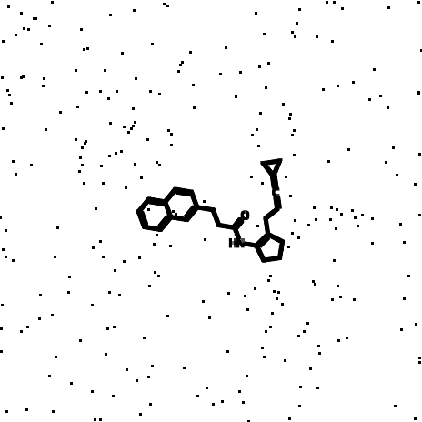 O=C(CCc1ccc2ccccc2c1)NC1=C(CC=C=C2CC2)CCC1